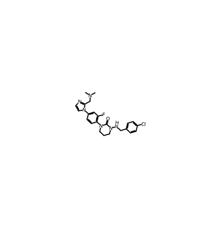 CN(C)Cc1nccn1-c1ccc(N2CCCN(NCc3ccc(Cl)cc3)C2=O)c(F)c1